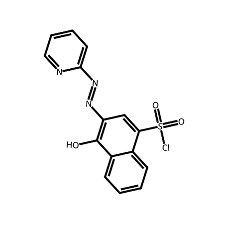 O=S(=O)(Cl)c1cc(N=Nc2ccccn2)c(O)c2ccccc12